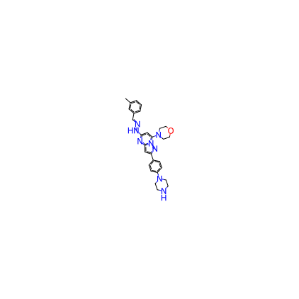 Cc1cccc(/C=N/Nc2cc(N3CCOCC3)n3nc(-c4ccc(N5CCNCC5)cc4)cc3n2)c1